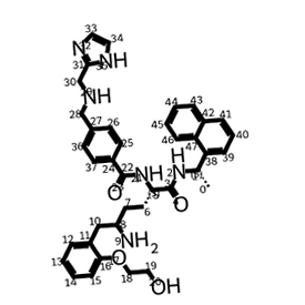 C[C@H](NC(=O)[C@H](CCC(N)Cc1ccccc1OCCO)NC(=O)c1ccc(CNCc2ncc[nH]2)cc1)c1cccc2ccccc12